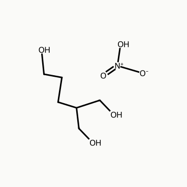 O=[N+]([O-])O.OCCCC(CO)CO